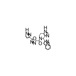 O=C(c1nnc(-c2cc[nH]n2)o1)N1CCc2[nH]cnc2C1c1cc2ccccn2n1